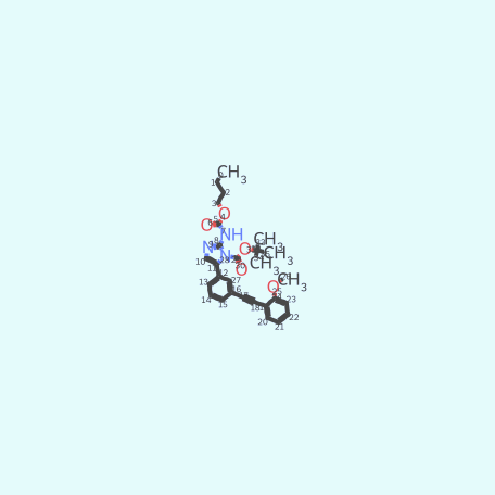 CCCCOC(=O)Nc1ncc(-c2cccc(C#Cc3ccccc3OC)c2)n1C(=O)OC(C)(C)C